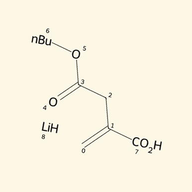 C=C(CC(=O)OCCCC)C(=O)O.[LiH]